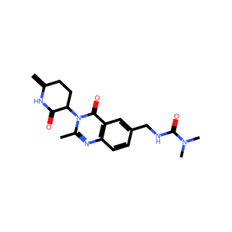 C=C1CCC(n2c(C)nc3ccc(CNC(=O)N(C)C)cc3c2=O)C(=O)N1